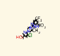 C[C@@H]1CN(c2ncc(CO)cc2Cl)CCN1c1nc2cc(C(F)(F)F)cc([N+](=O)[O-])c2[nH]1